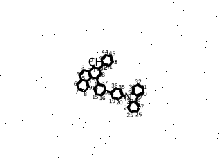 C=C1c2ccc3ccccc3c2C(c2cccc(-c3ccc(-n4c5ccccc5c5ccccc54)cc3)c2)=CC1c1ccccc1